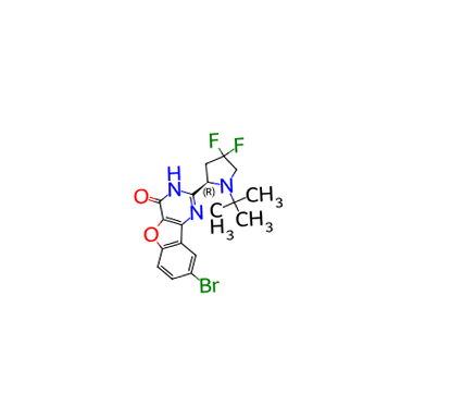 CC(C)(C)N1CC(F)(F)C[C@@H]1c1nc2c(oc3ccc(Br)cc32)c(=O)[nH]1